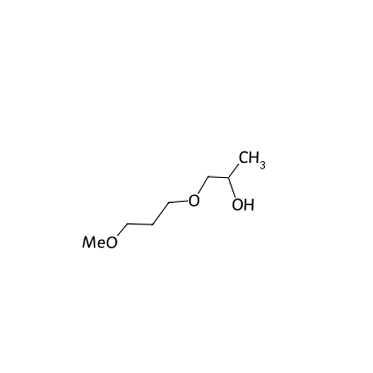 COCCCOCC(C)O